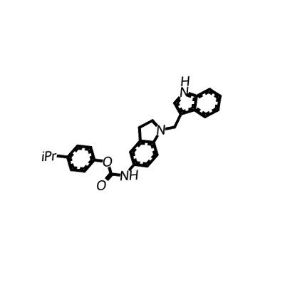 CC(C)c1ccc(OC(=O)Nc2ccc3c(c2)CCN3Cc2c[nH]c3ccccc23)cc1